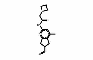 Cc1cc(NC(=O)CN2CCC2)nc2c1CC(C=O)C2